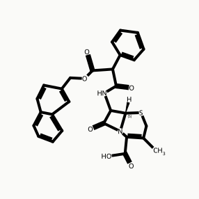 CC1=C(C(=O)O)N2C(=O)C(NC(=O)C(C(=O)OCc3ccc4ccccc4c3)c3ccccc3)[C@@H]2SC1